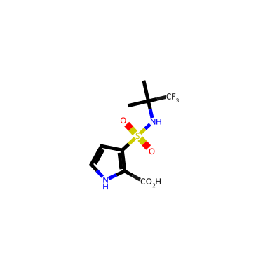 CC(C)(NS(=O)(=O)c1cc[nH]c1C(=O)O)C(F)(F)F